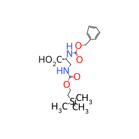 C[Si](C)(C)CCOC(=O)NC[C@H](NC(=O)OCc1ccccc1)C(=O)O